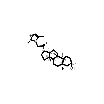 CC1=CNN(C)N1CC(=O)[C@H]1CC[C@H]2[C@@H]3CC[C@@H]4C[C@](C)(O)CC[C@@H]4[C@H]3CC[C@]12C